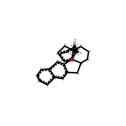 c1ccc2cc3c(cc2c1)CC1CCC[C@H]2Cc4cc5ccccc5cc4C312